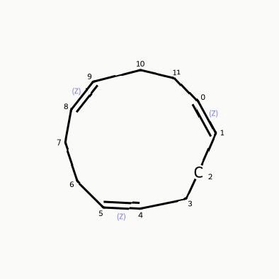 C1=C\CC/C=C\CC/C=C\CC/1